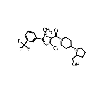 Cn1c(-c2cccc(C(F)(F)F)c2)nc(Cl)c1C(=O)N1CCC(N2CCCC2CO)CC1